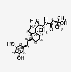 C[C@@H](CNC(=O)C[C@](C)(O)C(F)(F)F)[C@H]1CCC2C(=CC=C3C[C@@H](O)C[C@H](O)C3)CCC[C@@]21C